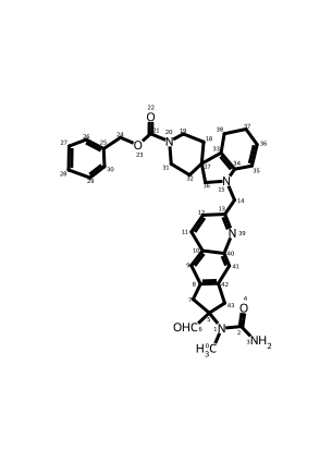 CN(C(N)=O)C1(C=O)Cc2cc3ccc(CN4CC5(CCN(C(=O)OCc6ccccc6)CC5)C5=C4C=CCC5)nc3cc2C1